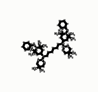 CC1(C)COP(N(CCCCCCN(C2CC(C)(C)N(OC3CCCCC3)C(C)(C)C2)P2OCC(C)(C)CO2)C2CC(C)(C)N(OC3CCCCC3)C(C)(C)C2)OC1